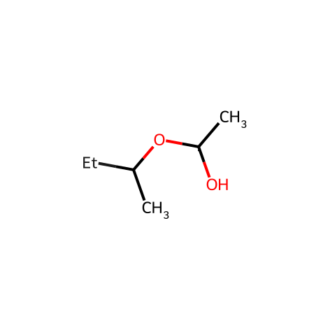 CCC(C)O[C](C)O